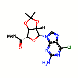 CNC(=O)[C@H]1O[C@@H](n2cnc3c(Cl)nc(N)nc32)[C@H]2OC(C)(C)OC12